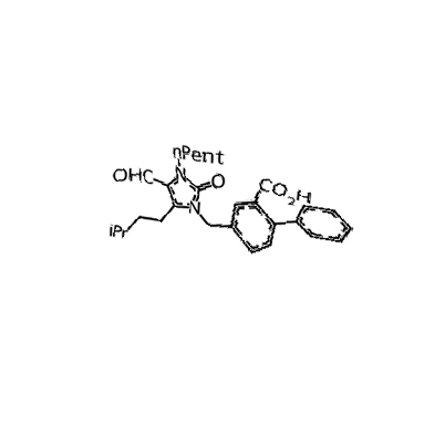 CCCCCn1c(C=O)c(CCC(C)C)n(Cc2ccc(-c3ccccc3)c(C(=O)O)c2)c1=O